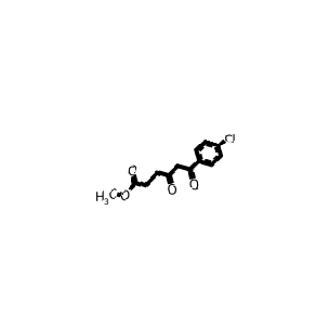 COC(=O)CCC(=O)CC(=O)c1ccc(Cl)cc1